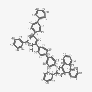 C1=CNC(c2nc3c4cccnc4c4ccccc4c3n2-c2ccc(-c3ccc(C4=CC(c5ccc(-c6ccccc6)cc5)=NC(c5ccccc5)N4)cc3)cc2)C=C1